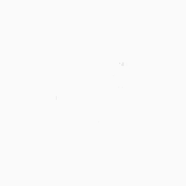 NC(=O)Cc1cc(Cl)cc(Br)c1